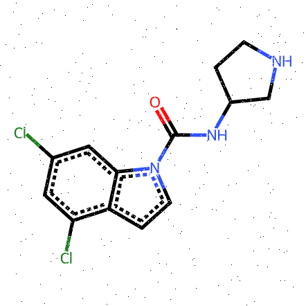 O=C(NC1CCNC1)n1ccc2c(Cl)cc(Cl)cc21